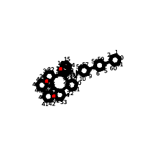 c1ccc(-c2ccc(-c3ccc(N(c4ccccc4)c4cccc5c4-c4ccccc4-c4ccccc4C(c4ccccc4)(c4ccccc4)c4ccccc4-5)cc3)cc2)cc1